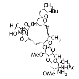 CCC(C)[C@H]1O[C@]2(C=C[C@@H]1C)C[C@@H]1C[C@@H](C/C=C(\C)[C@@H](OC3C[C@H](OC)[C@@H](OC4C[C@H](OC)[C@](N)(NC(C)=O)[C@H](C)O4)[C@H](C)O3)C(C)/C=C/C=C3\COC4[C@H](O)C(C)=C[C@@H](C(=O)O1)[C@]34O)O2